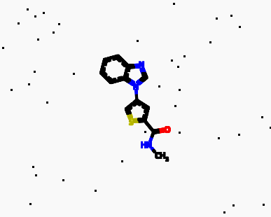 CNC(=O)c1cc(-n2cnc3ccccc32)cs1